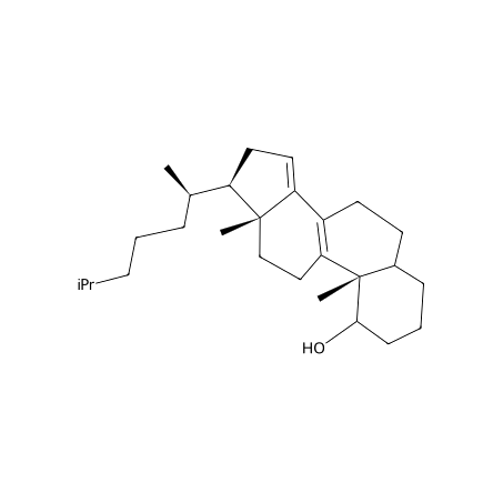 CC(C)CCC[C@@H](C)[C@H]1CC=C2C3=C(CC[C@@]21C)[C@@]1(C)C(O)CCCC1CC3